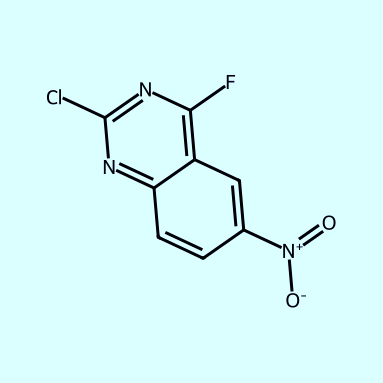 O=[N+]([O-])c1ccc2nc(Cl)nc(F)c2c1